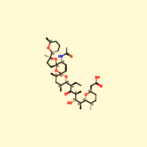 CC[C@@H](C(=O)[C@@H](C)[C@@H](O)[C@H](C)[C@@H]1O[C@@H](CC(=O)O)CC[C@@H]1C)[C@H]1O[C@]2(C=C[C@@H](NC(C)=S)[C@]3(CC[C@@](C)([C@H]4CCC[C@H](C)O4)O3)O2)[C@H](C)C[C@@H]1C